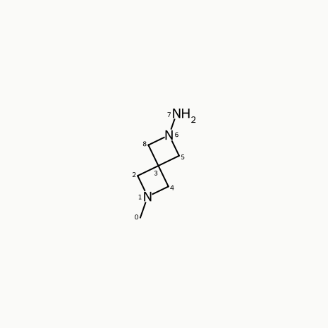 CN1CC2(C1)CN(N)C2